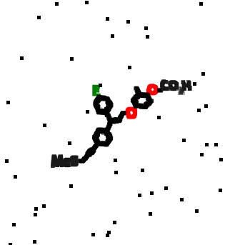 CSCC#Cc1ccc(C(=CCOc2ccc(OCC(=O)O)c(C)c2)c2ccc(F)cc2)cc1